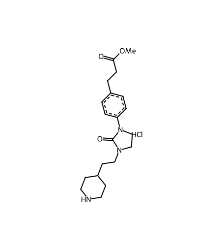 COC(=O)CCc1ccc(N2CCN(CCC3CCNCC3)C2=O)cc1.Cl